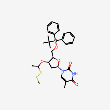 CSS[C@@H](C)OC1C[C@H](n2cc(C)c(=O)[nH]c2=O)O[C@@H]1CO[Si](c1ccccc1)(c1ccccc1)C(C)(C)C